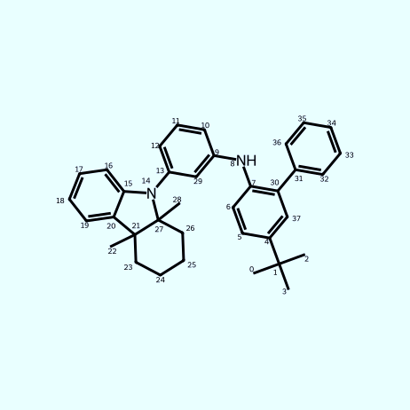 CC(C)(C)c1ccc(Nc2cccc(N3c4ccccc4C4(C)CCCCC34C)c2)c(-c2ccccc2)c1